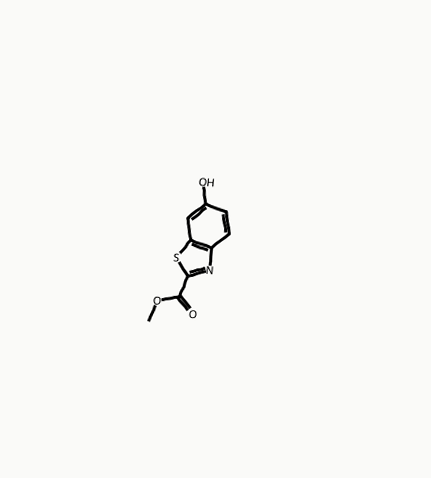 COC(=O)c1nc2ccc(O)cc2s1